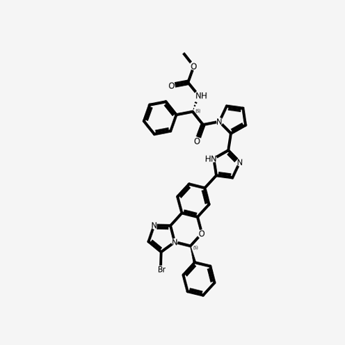 COC(=O)N[C@H](C(=O)n1cccc1-c1ncc(-c2ccc3c(c2)O[C@@H](c2ccccc2)n2c(Br)cnc2-3)[nH]1)c1ccccc1